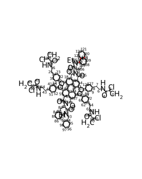 C=C(Cl)C(=O)NCCc1ccc(Oc2cc3c4c(cc(Oc5ccc(CCNC(=O)C(=C)Cl)cc5)c5c6c(Oc7ccc(CCNC(=O)C(=C)Cl)cc7)cc7c8c(cc(Oc9ccc(CCNC(=O)C(=C)Cl)cc9)c(c2c45)c86)C(=O)N(C(Cc2ccccc2)C(=O)N(CC)Cc2ccccc2)C7=O)C(=O)N(C(Cc2ccccc2)C(=O)N(CC)Cc2ccccc2)C3=O)cc1